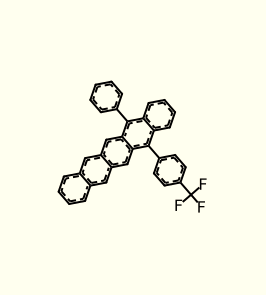 FC(F)(F)c1ccc(-c2c3ccccc3c(-c3ccccc3)c3cc4cc5ccccc5cc4cc23)cc1